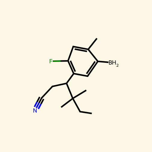 Bc1cc(C(CC#N)C(C)(C)CC)c(F)cc1C